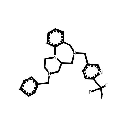 FC(F)(F)c1ccc(CN2Cc3ccccc3N3CCN(Cc4ccccc4)CC3C2)cn1